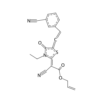 C=CCOC(=O)/C(C#N)=c1\sc(=C=Cc2cccc(C#N)c2)c(=O)n1CC